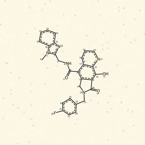 Cn1c(CNC(=O)c2c3c(c(O)c4ncccc24)C(=O)N(Cc2ccc(F)cc2)C3)nc2ccccc21